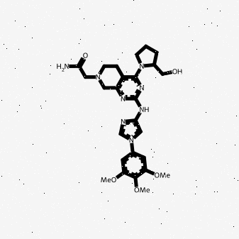 COc1cc(-n2cnc(Nc3nc4c(c(N5CCCC5CO)n3)CCN(CC(N)=O)C4)c2)cc(OC)c1OC